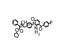 CN(Cc1ccc(-n2c(N)c(C(=O)c3ccc(F)cc3)ccc2=O)cc1)[C@H](C(=O)OC1CCCC1)c1ccccc1